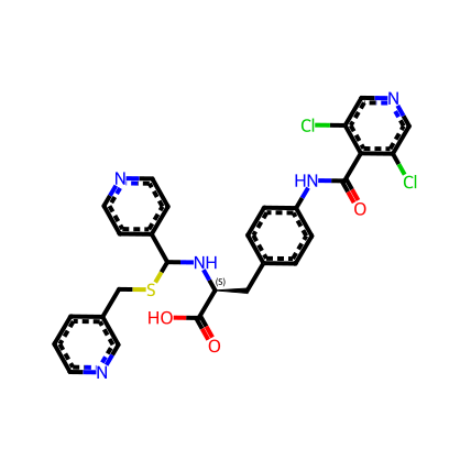 O=C(Nc1ccc(C[C@H](NC(SCc2cccnc2)c2ccncc2)C(=O)O)cc1)c1c(Cl)cncc1Cl